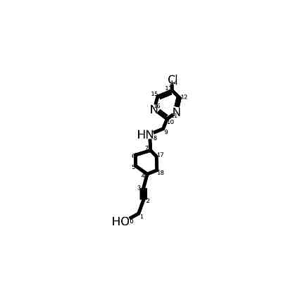 OCC#CC1CCC(NCc2ncc(Cl)cn2)CC1